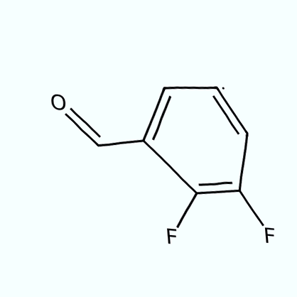 O=Cc1c[c]cc(F)c1F